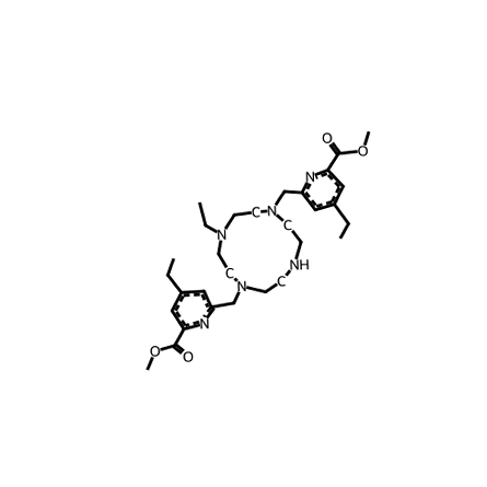 CCc1cc(CN2CCNCCN(Cc3cc(CC)cc(C(=O)OC)n3)CCN(CC)CC2)nc(C(=O)OC)c1